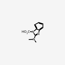 CN(C)c1nc2ccccc2n1C(=O)O